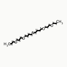 CCCOCCCOCCCC[N]CCCCOCCCOCCC